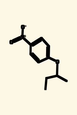 CCC(C)Oc1ccc([N+](=O)[O-])cc1